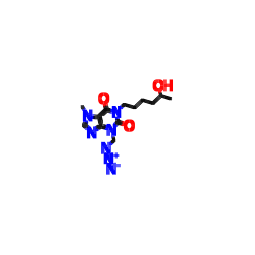 CC(O)CCCCn1c(=O)c2c(ncn2C)n(CN=[N+]=[N-])c1=O